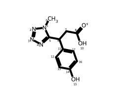 Cn1nnnc1C(CC(=O)O)c1ccc(O)cc1